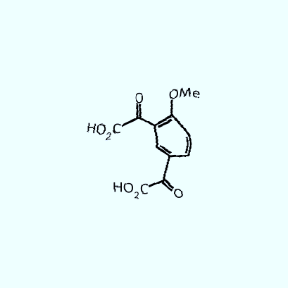 COc1ccc(C(=O)C(=O)O)cc1C(=O)C(=O)O